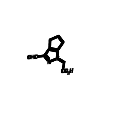 O=Cc1nn(CC(=O)O)c2c1CCC2